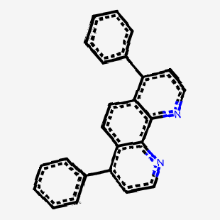 [c]1ccccc1-c1ccnc2c1ccc1c(-c3ccccc3)ccnc12